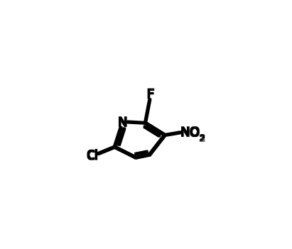 O=[N+]([O-])c1ccc(Cl)nc1F